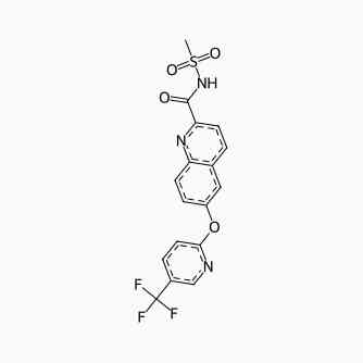 CS(=O)(=O)NC(=O)c1ccc2cc(Oc3ccc(C(F)(F)F)cn3)ccc2n1